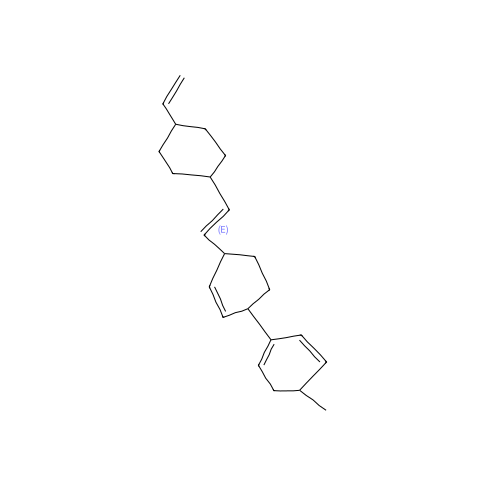 C=CC1CCC(/C=C/C2C=CC(C3=CCC(C)C=C3)CC2)CC1